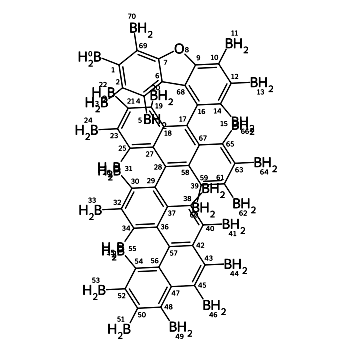 Bc1c(B)c(B)c2c(oc3c(B)c(B)c(B)c(-c4c5c(B)c(B)c(B)c(B)c5c(-c5c(B)c(B)c(B)c6c5c(B)c(B)c5c(B)c(B)c7c(B)c(B)c(B)c(B)c7c56)c5c(B)c(B)c(B)c(B)c45)c32)c1B